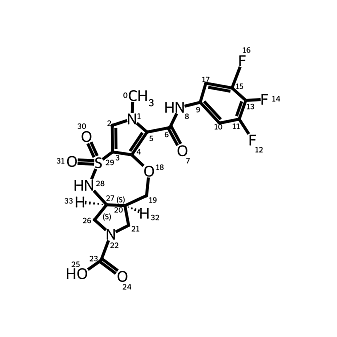 Cn1cc2c(c1C(=O)Nc1cc(F)c(F)c(F)c1)OC[C@H]1CN(C(=O)O)C[C@H]1NS2(=O)=O